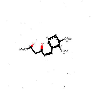 COC(=O)CC(=O)/C=C\c1cccc(OC)c1OC